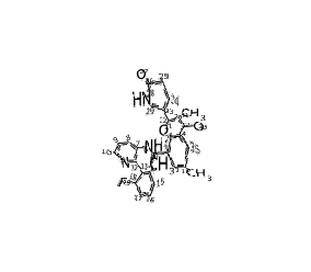 Cc1cc([C@@H](C)Nc2cccnc2-c2ccccc2F)c2oc(-c3ccc(=O)[nH]c3)c(C)c(=O)c2c1